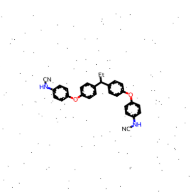 CCC(c1ccc(Oc2ccc(NC#N)cc2)cc1)c1ccc(Oc2ccc(NC#N)cc2)cc1